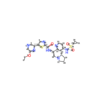 CCOc1cncc(-c2cnc(C(=O)N[C@H](CN3CCCC3)c3cc(NS(=O)(=O)C4CC4)ccn3)s2)n1